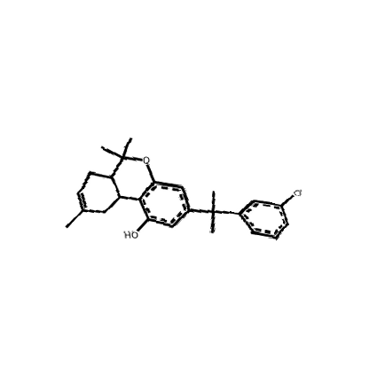 CC1=CCC2C(C1)c1c(O)cc(C(C)(C)c3cccc(Cl)c3)cc1OC2(C)C